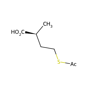 CC(=O)SCC[C@H](C)C(=O)O